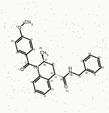 COc1ccc(C(=O)N2c3ccccc3[C@@H](C(=O)NCc3ccccc3)C[C@@H]2C)cc1